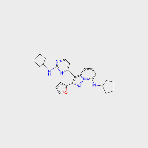 c1coc(-c2nn3c(NC4CCCC4)cccc3c2-c2ccnc(NC3CCCC3)n2)c1